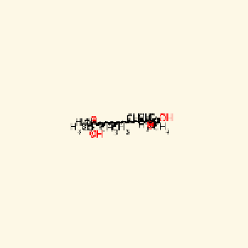 CC(/C=C/C=C(C)/C=C/C(=O)[C@]1(C)C[C@@H](O)CC1(C)C)=C\C=C\C=C(C)\C=C\C=C(C)\C=C\C(=O)[C@@]1(C)C[C@H](O)CC1(C)C